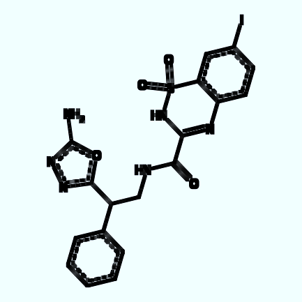 Nc1nnc(C(CNC(=O)C2=Nc3ccc(I)cc3S(=O)(=O)N2)c2ccccc2)o1